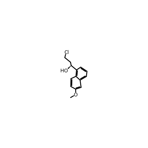 COc1ccc2c([C@@H](O)CCCl)cccc2c1